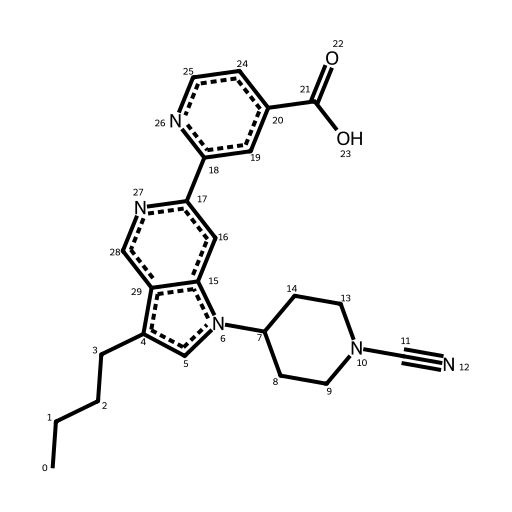 CCCCc1cn(C2CCN(C#N)CC2)c2cc(-c3cc(C(=O)O)ccn3)ncc12